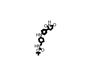 CC(C)(C)OC(=O)NCC1CCC(Nc2ccc(C3CCC(=O)NC3=O)cc2)CC1